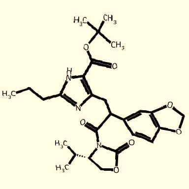 CCCc1nc(CC(C(=O)N2C(=O)OC[C@@H]2C(C)C)c2ccc3c(c2)OCO3)c(C(=O)OC(C)(C)C)[nH]1